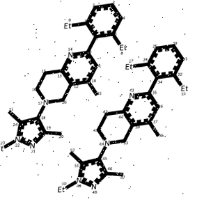 CCc1cccc(CC)c1-c1cc(C)c2c(n1)CCN(c1c(C)nn(CC)c1C)C2.CCc1cccc(CC)c1-c1cc(C)c2c(n1)CCN(c1c(C)nn(CC)c1C)C2